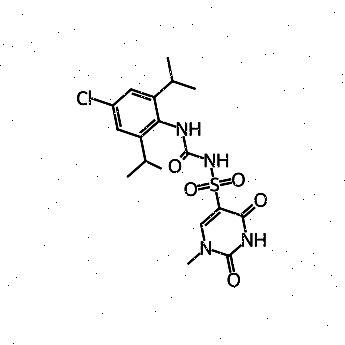 CC(C)c1cc(Cl)cc(C(C)C)c1NC(=O)NS(=O)(=O)c1cn(C)c(=O)[nH]c1=O